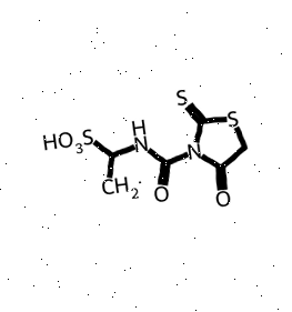 [CH2]C(NC(=O)N1C(=O)CSC1=S)S(=O)(=O)O